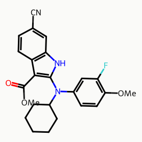 COC(=O)c1c(N(c2ccc(OC)c(F)c2)C2CCCCC2)[nH]c2cc(C#N)ccc12